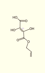 C=CCOC(=O)/C(O)=C(\O)C(=O)O